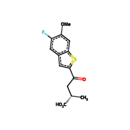 COc1cc2sc(C(=O)C[C@H](C)C(=O)O)cc2cc1F